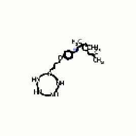 C=CC(C)(/C=C/c1ccc(OCCCCN2CCNCCNCCNCCNCC2)cc1)CCC=C(C)C